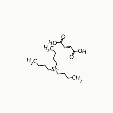 CCC[CH2][Sn]([CH2]CCC)[CH2]CCC.O=C(O)C=CC(=O)O